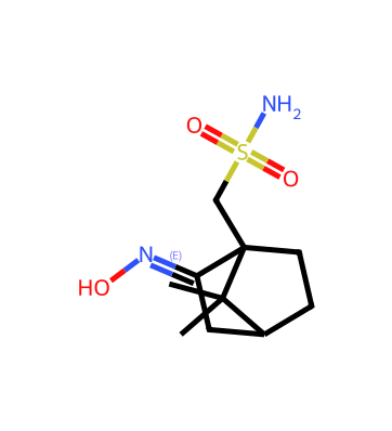 CC1(C)C2CCC1(CS(N)(=O)=O)/C(=N/O)C2